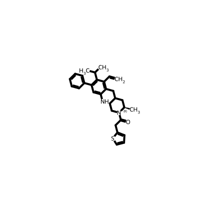 C=Cc1c(CC2CCN(C(=O)Cc3cccs3)[C@H](C)C2)c(N)cc(-c2ccccc2)c1C(C)C